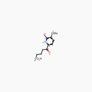 COc1ccc(C(=O)CCCC(=O)O)nc1I